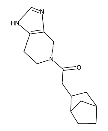 O=C(CC1CC2CCC1C2)N1CCc2[nH]cnc2C1